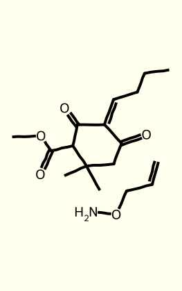 C=CCON.CCCC=C1C(=O)CC(C)(C)C(C(=O)OC)C1=O